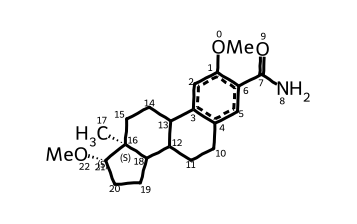 COc1cc2c(cc1C(N)=O)CCC1C2CC[C@@]2(C)C1CC[C@@H]2OC